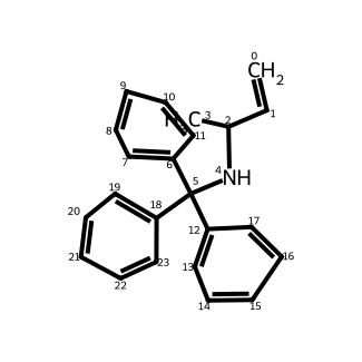 C=CC(C)NC(c1ccccc1)(c1ccccc1)c1ccccc1